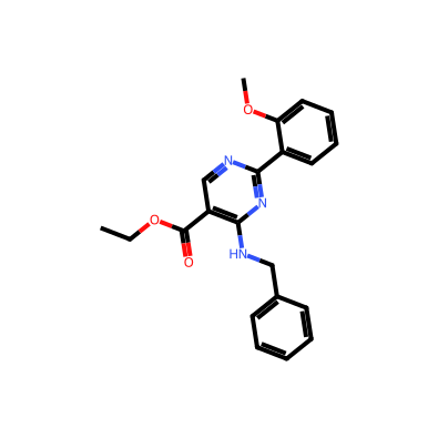 CCOC(=O)c1cnc(-c2ccccc2OC)nc1NCc1ccccc1